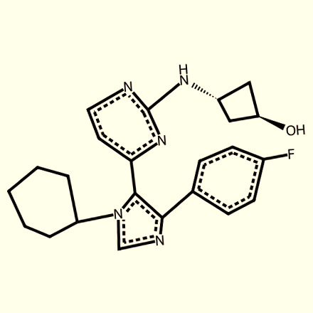 O[C@H]1C[C@H](Nc2nccc(-c3c(-c4ccc(F)cc4)ncn3C3CCCCC3)n2)C1